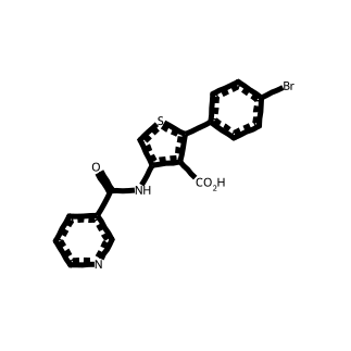 O=C(Nc1csc(-c2ccc(Br)cc2)c1C(=O)O)c1cccnc1